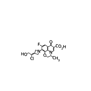 C[C@H]1COc2c(N3CC(=C(Cl)CO)C3)c(F)cc3c(=O)c(C(=O)O)cn1c23